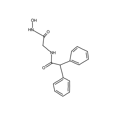 O=C(CNC(=O)C(c1ccccc1)c1ccccc1)NO